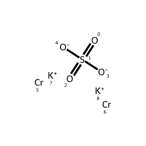 O=S(=O)([O-])[O-].[Cr].[Cr].[K+].[K+]